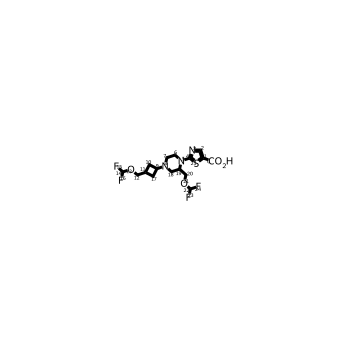 O=C(O)c1cnc(N2CCN(C3CC(COC(F)F)C3)CC2COC(F)F)s1